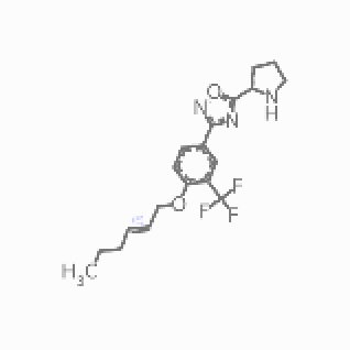 CCC/C=C/COc1ccc(-c2noc(C3CCCN3)n2)cc1C(F)(F)F